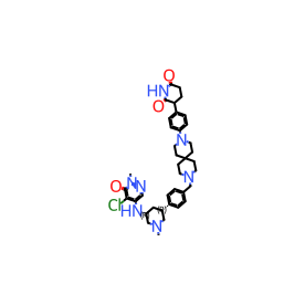 CN1C[C@H](Nc2cnn(C)c(=O)c2Cl)C[C@H](c2ccc(CN3CCC4(CC3)CCN(c3ccc(C5CCC(=O)NC5=O)cc3)CC4)cc2)C1